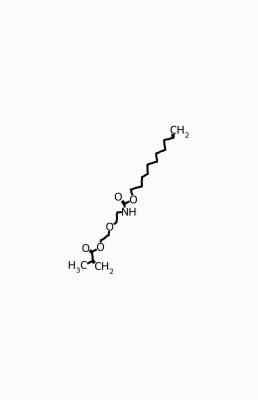 C=CCCCCCCCCCOC(=O)NCCOCCOC(=O)C(=C)C